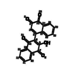 O=C1C=C(C2=C(O)C(=O)c3ccccc3C2=O)c2ccccc2C1=O